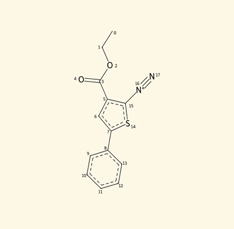 CCOC(=O)c1cc(-c2ccccc2)sc1[N+]#N